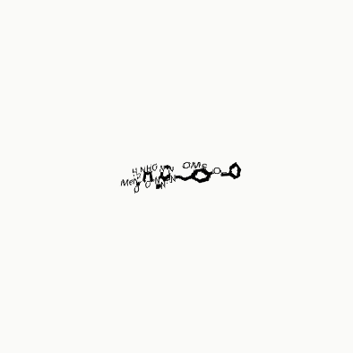 CNC(=O)[C@H]1O[C@@H](n2cnc3c(NCCc4ccc(OCc5ccccc5)c(OC)c4)ncnc32)[C@@H](O)[C@@H]1N